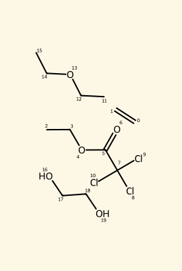 C=C.CCOC(=O)C(Cl)(Cl)Cl.CCOCC.OCCO